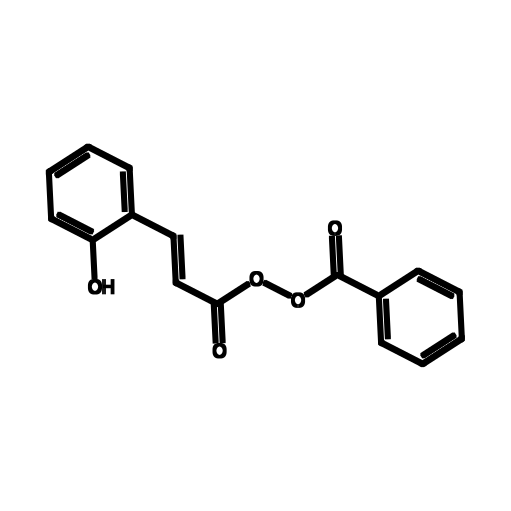 O=C(C=Cc1ccccc1O)OOC(=O)c1ccccc1